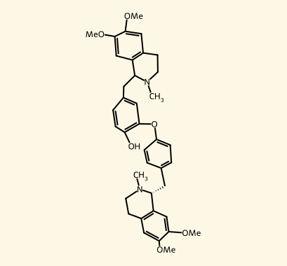 COc1cc2c(cc1OC)C(Cc1ccc(O)c(Oc3ccc(C[C@@H]4c5cc(OC)c(OC)cc5CCN4C)cc3)c1)N(C)CC2